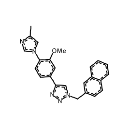 COc1cc(-c2cn(Cc3ccc4ccccc4c3)nn2)ccc1-n1cnc(C)c1